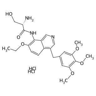 CCOc1ccc2c(Cc3cc(OC)c(OC)c(OC)c3)cncc2c1NC(=O)[C@@H](N)CO.Cl.Cl